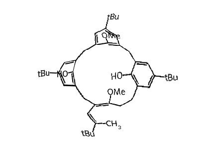 C/C(=C\C1=C(\O[13CH3])CCc2cc(C(C)(C)C)cc(c2O)Cc2cc(C(C)(C)C)cc(c2O[13CH3])Cc2cc(C(C)(C)C)cc(c2O)C1)C(C)(C)C